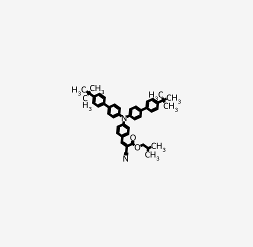 CC(C)COC(=O)/C(C#N)=C\c1ccc(N(c2ccc(-c3ccc(C(C)(C)C)cc3)cc2)c2ccc(-c3ccc(C(C)(C)C)cc3)cc2)cc1